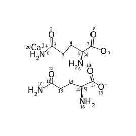 NC(=O)CC[C@H](N)C(=O)[O-].NC(=O)CC[C@H](N)C(=O)[O-].[Ca+2]